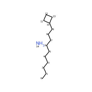 CCCCCCCCCCC1CCC1.N